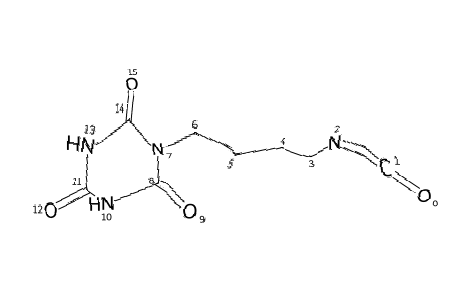 O=C=NCCCCn1c(=O)[nH]c(=O)[nH]c1=O